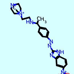 CC(NCC[N+]12CCN(CC1)CC2)c1ccc(N=Nc2nc3cc([N+](=O)[O-])ccc3[nH]2)cc1